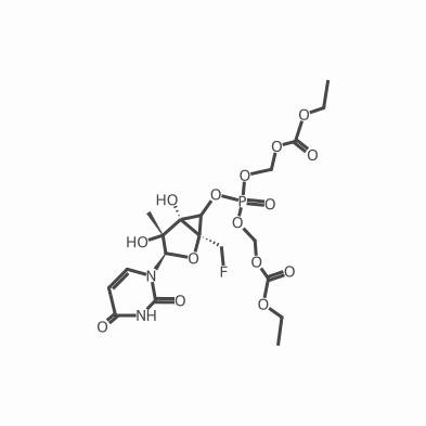 CCOC(=O)OCOP(=O)(OCOC(=O)OCC)OC1[C@]2(O)[C@@](C)(O)[C@H](n3ccc(=O)[nH]c3=O)O[C@]12CF